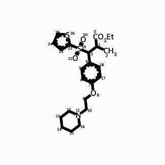 CCOC(=O)C(C)C(c1ccc(OCCN2CCCCC2)cc1)S(=O)(=O)c1cccs1